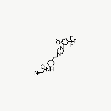 COc1ccc(C(F)(F)F)cc1N1CCN(CCC2CCC(NC(=O)CC#N)CC2)CC1